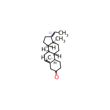 C/C=C1/CC[C@H]2[C@@H]3CC=C4CC(=O)CC[C@]4(C)[C@H]3CC[C@]12C